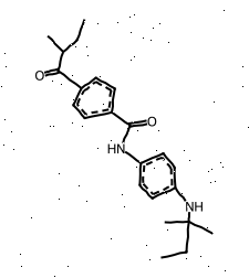 CCC(C)C(=O)c1ccc(C(=O)Nc2ccc(NC(C)(C)CC)cc2)cc1